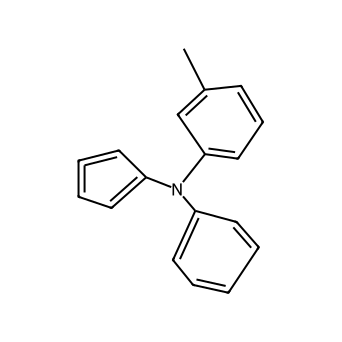 Cc1cccc(N(C2=CC=C=C2)c2ccccc2)c1